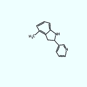 Cc1cccc2c1CC(c1cccnc1)N2